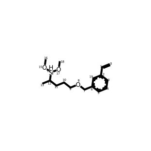 C=Cc1cccc(COCCCC(C)[SiH](OC)OC)c1